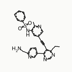 CCc1ncnc(-c2ccc(CN)nc2)c1C#Cc1cnc(C)c(NS(=O)(=O)c2ccccc2)c1